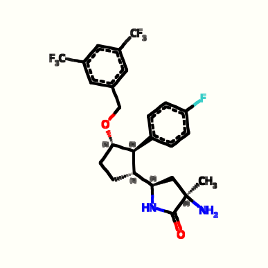 C[C@@]1(N)C[C@H]([C@@H]2CC[C@H](OCc3cc(C(F)(F)F)cc(C(F)(F)F)c3)[C@H]2c2ccc(F)cc2)NC1=O